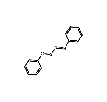 c1ccc(N=NSOc2ccccc2)cc1